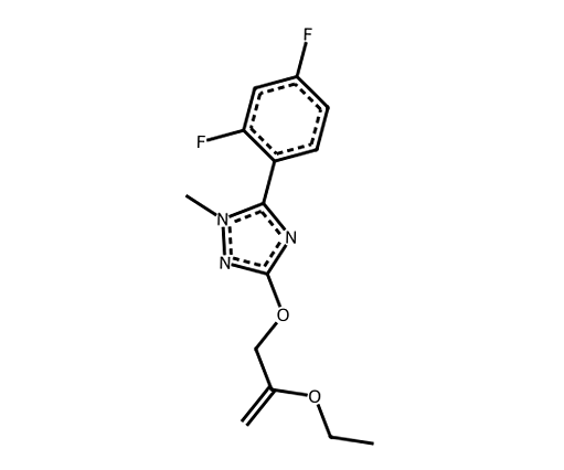 C=C(COc1nc(-c2ccc(F)cc2F)n(C)n1)OCC